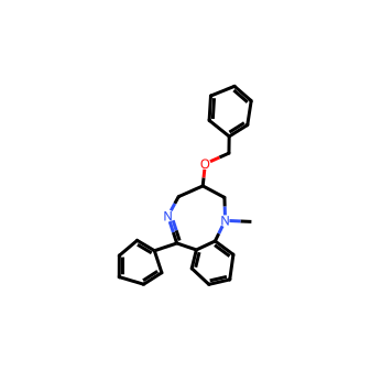 CN1CC(OCc2ccccc2)C/N=C(/c2ccccc2)c2ccccc21